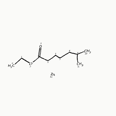 CCOC(=O)CCCCC(C)C.[Zn]